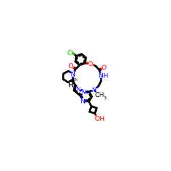 CN1CCNC(=O)COc2ccc(Cl)cc2C(=O)N2CCCC[C@H]2c2cc3nc(C4CC(O)C4)cc1n3n2